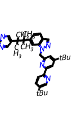 CC(C)(C)c1ccc(-c2cc(C(C)(C)C)cc(Cn3ncc4ccc(C(C)(C)C(C)(C)c5cncnc5)cc43)n2)nc1